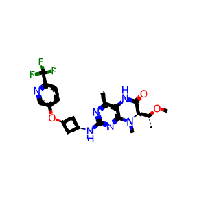 CO[C@H](C)[C@H]1C(=O)Nc2c(C)nc(N[C@H]3C[C@H](Oc4ccc(C(F)(F)F)nc4)C3)nc2N1C